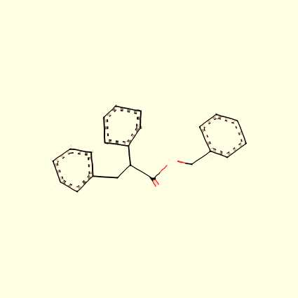 O=C(OCc1ccccc1)C(Cc1ccccc1)c1ccccc1